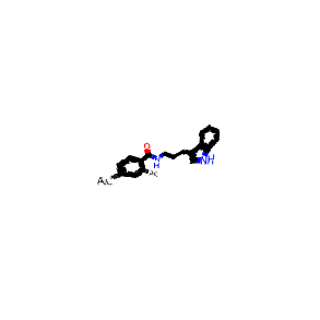 CC(=O)c1ccc(C(=O)NCCCc2c[nH]c3ccccc23)c(C(C)=O)c1